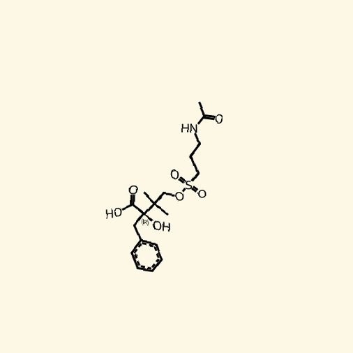 CC(=O)NCCCS(=O)(=O)OCC(C)(C)[C@](O)(Cc1ccccc1)C(=O)O